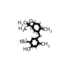 Cc1cc(O)c(C(C)(C)C)cc1Cc1cc2c(cc1C)OC2(C)C